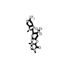 CCS(=O)(=O)c1cc(OC(C(=O)N(C)C)S(C)(=O)=O)cnc1-c1nc2cc(C(F)(F)F)ncc2n1C